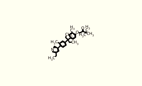 CCc1cncc(-c2ccc(C(CC)(CC)c3ccc(OCC(=O)C(C)(C)C)c(C)c3)cc2C)c1